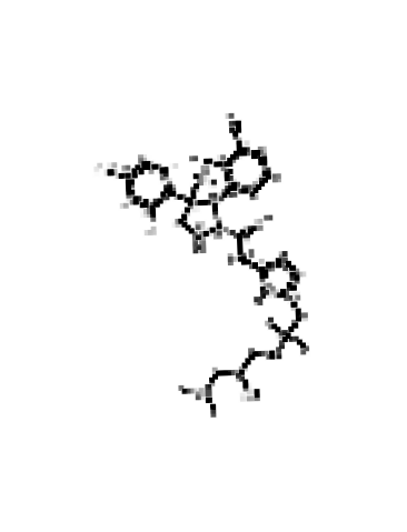 CN(C)C[C@H](O)COC(C)(C)Cn1ccc(NC(=O)[C@@H]2NC[C@](N)(c3ccc(Cl)cc3F)[C@H]2c2cccc(Cl)c2F)n1